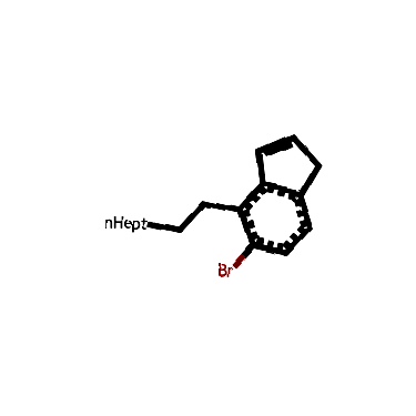 CCCCCCCCCc1c(Br)ccc2c1C=CC2